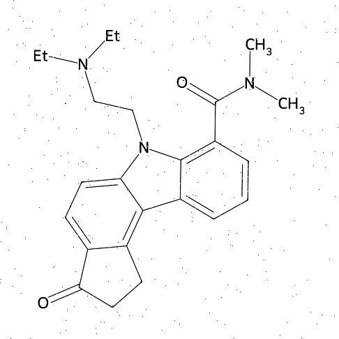 CCN(CC)CCn1c2ccc3c(c2c2cccc(C(=O)N(C)C)c21)CCC3=O